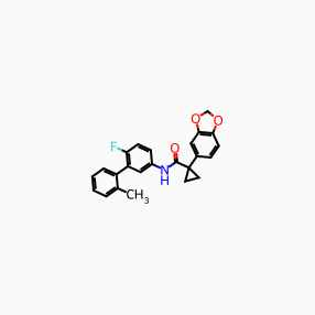 Cc1ccccc1-c1cc(NC(=O)C2(c3ccc4c(c3)OCO4)CC2)ccc1F